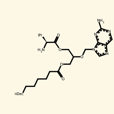 CCCCCCCCCCCCCCCC(=O)OCC(COC(=O)[C@@H](N)C(C)C)OCn1cnc2cnc(N)nc21